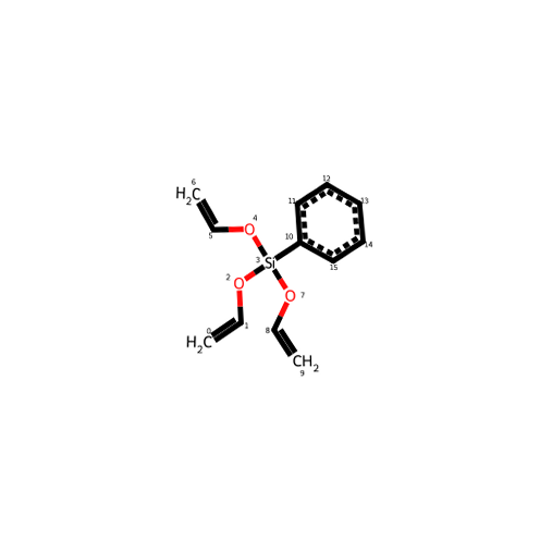 C=CO[Si](OC=C)(OC=C)c1ccccc1